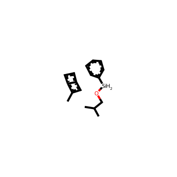 CC(C)CO[SiH2]c1ccccc1.Cc1cc2ccc1-2